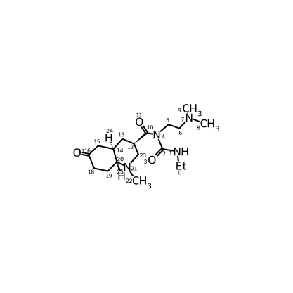 CCNC(=O)N(CCN(C)C)C(=O)[C@@H]1C[C@@H]2CC(=O)CC[C@H]2N(C)C1